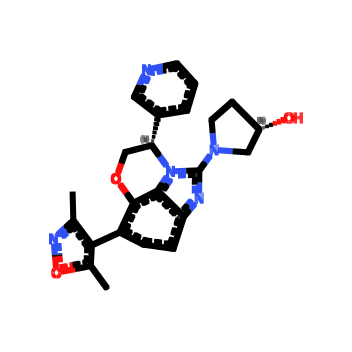 Cc1noc(C)c1-c1ccc2nc(N3CC[C@H](O)C3)n3c2c1OC[C@@H]3c1cccnc1